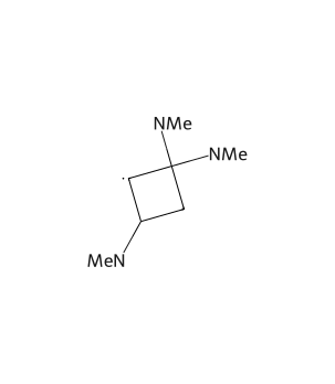 CNC1[CH]C(NC)(NC)C1